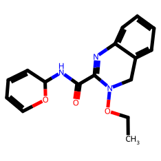 CCON1Cc2ccccc2N=C1C(=O)NC1C=CC=CO1